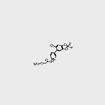 COCC(=O)Nc1ccc(-c2cc3c(cc2Cl)OC(F)(F)O3)cn1